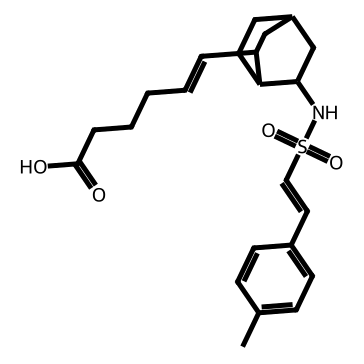 Cc1ccc(/C=C/S(=O)(=O)NC2CC3CCC2C(/C=C/CCCC(=O)O)C3)cc1